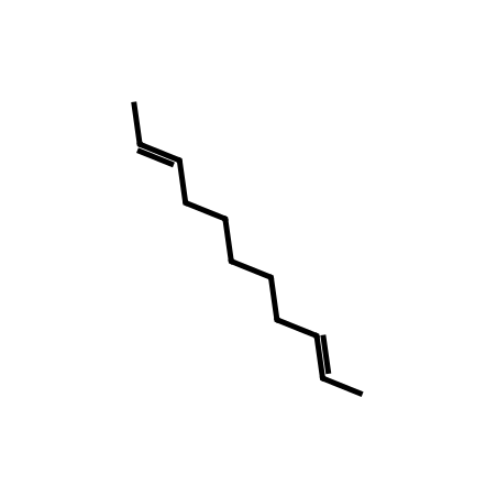 C/C=C/CCCCC/C=C/C